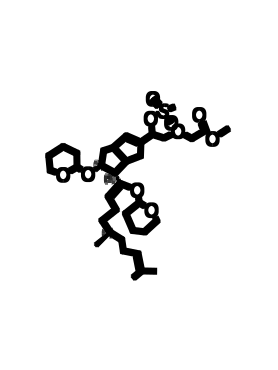 COC(=O)COCC(OS(C)(=O)=O)C1=CC2C[C@H](OC3CCCCO3)[C@@H](C(=CCC[C@H](C)CCC=C(C)C)OC3CCCCO3)C2C1